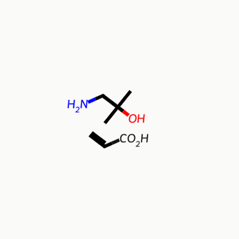 C=CC(=O)O.CC(C)(O)CN